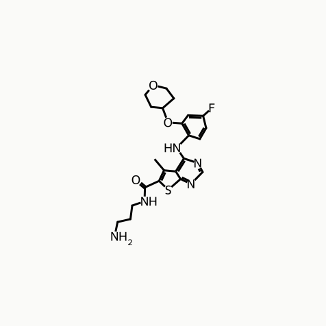 Cc1c(C(=O)NCCCN)sc2ncnc(Nc3ccc(F)cc3OC3CCOCC3)c12